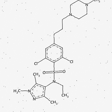 CCN(c1c(C)nn(C)c1C)S(=O)(=O)c1c(Cl)cc(CCCN2CCN(C)CC2)cc1Cl